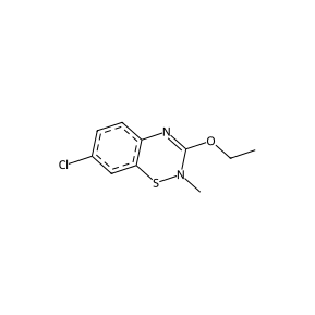 CCOC1=Nc2ccc(Cl)cc2SN1C